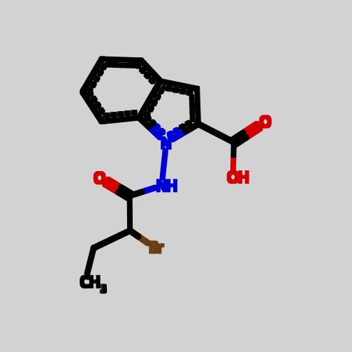 CCC(Br)C(=O)Nn1c(C(=O)O)cc2ccccc21